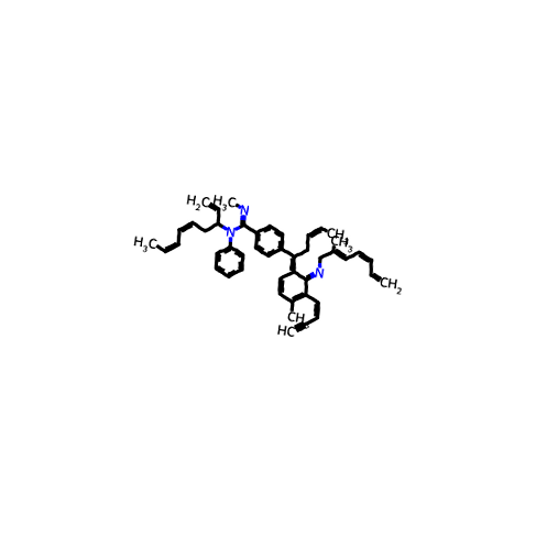 C#C/C=C\C1=C(C)C=CC(=C(/C/C=C\C)c2ccc(/C(=N/C)N(c3ccccc3)C(C=C)C/C=C\C=C/C)cc2)/C1=N\C/C(C)=C/C=C\C=C